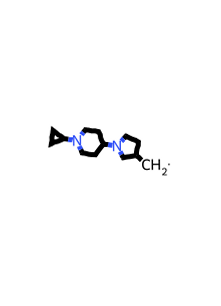 [CH2]C1CCN(C2CCN(C3CC3)CC2)C1